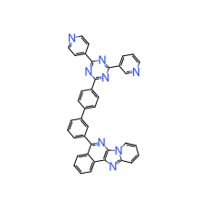 c1cncc(-c2nc(-c3ccncc3)nc(-c3ccc(-c4cccc(-c5nc6c(nc7ccccn76)c6ccccc56)c4)cc3)n2)c1